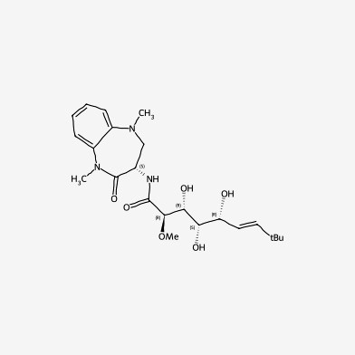 CO[C@@H](C(=O)N[C@H]1CN(C)c2ccccc2N(C)C1=O)[C@H](O)[C@@H](O)[C@H](O)C=CC(C)(C)C